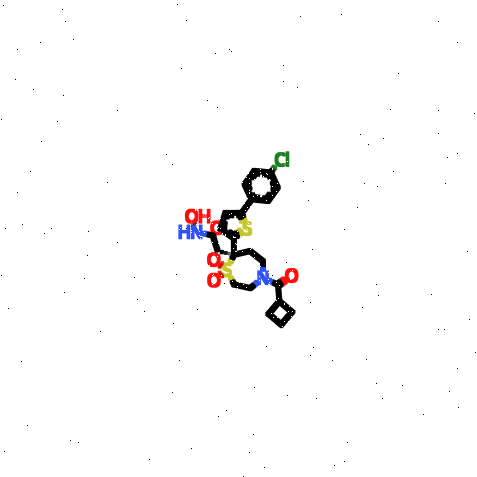 O=C(C[C@]1(c2ccc(-c3ccc(Cl)cc3)s2)CCN(C(=O)C2CCC2)CCS1(=O)=O)NO